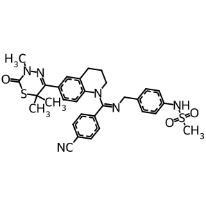 CN1N=C(c2ccc3c(c2)CCCN3/C(=N\Cc2ccc(NS(C)(=O)=O)cc2)c2ccc(C#N)cc2)C(C)(C)SC1=O